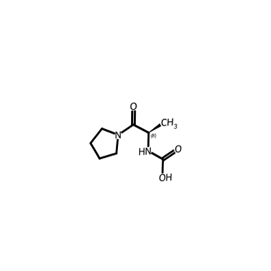 C[C@@H](NC(=O)O)C(=O)N1CCCC1